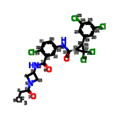 O=C(NC1CN(C(=O)CC(F)(F)F)C1)c1cc(NC(=O)[C@@H]2[C@@H](c3cc(Cl)cc(Cl)c3)C2(Cl)Cl)ccc1Cl